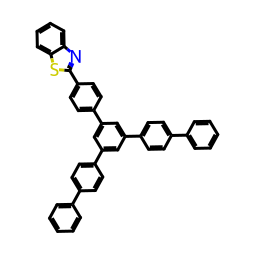 c1ccc(-c2ccc(-c3cc(-c4ccc(-c5ccccc5)cc4)cc(-c4ccc(-c5nc6ccccc6s5)cc4)c3)cc2)cc1